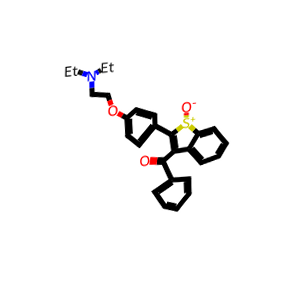 CCN(CC)CCOc1ccc(-c2c(C(=O)c3ccccc3)c3ccccc3[s+]2[O-])cc1